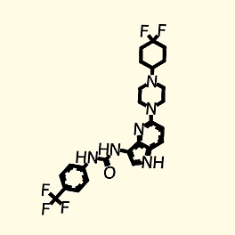 O=C(Nc1ccc(C(F)(F)F)cc1)Nc1c[nH]c2ccc(N3CCN(C4CCC(F)(F)CC4)CC3)nc12